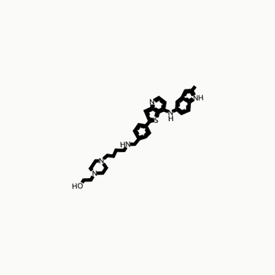 Cc1cc2cc(Nc3ccnc4cc(-c5ccc(CNCCCCN6CCN(CCO)CC6)cc5)sc34)ccc2[nH]1